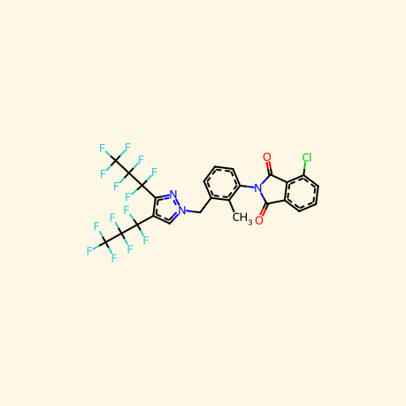 Cc1c(Cn2cc(C(F)(F)C(F)(F)C(F)(F)F)c(C(F)(F)C(F)(F)C(F)(F)F)n2)cccc1N1C(=O)c2cccc(Cl)c2C1=O